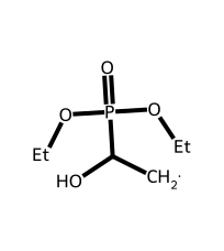 [CH2]C(O)P(=O)(OCC)OCC